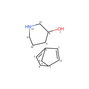 C1=CC2=CC=C1C2.OC1CCCNC1